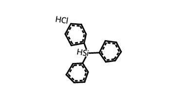 Cl.c1ccc([SiH](c2ccccc2)c2ccccc2)cc1